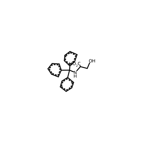 O=C(O)C(CO)NC(c1ccccc1)(c1ccccc1)c1ccccc1